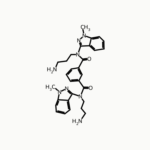 Cn1nc(N(CCCN)C(=O)c2cccc(C(=O)N(CCCN)c3nn(C)c4ccccc34)c2)c2ccccc21